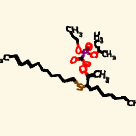 CCCCCCCCCCCCSC(CCCCCCC)C(C)OOC(=O)P(=O)(OCCC)OC(C)C